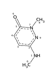 CNc1ccc(=O)n(C)n1